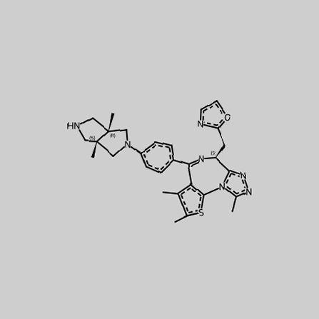 Cc1sc2c(c1C)C(c1ccc(N3C[C@]4(C)CNC[C@]4(C)C3)cc1)=N[C@@H](Cc1ncco1)c1nnc(C)n1-2